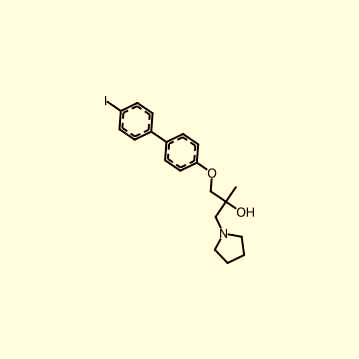 CC(O)(COc1ccc(-c2ccc(I)cc2)cc1)CN1CCCC1